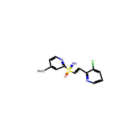 COc1ccnc(S(=N)(=O)/C=C/c2ncccc2Cl)c1